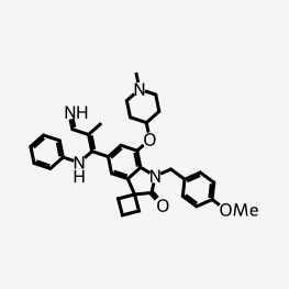 COc1ccc(CN2C(=O)C3(CCC3)c3cc(/C(Nc4ccccc4)=C(\C)C=N)cc(OC4CCN(C)CC4)c32)cc1